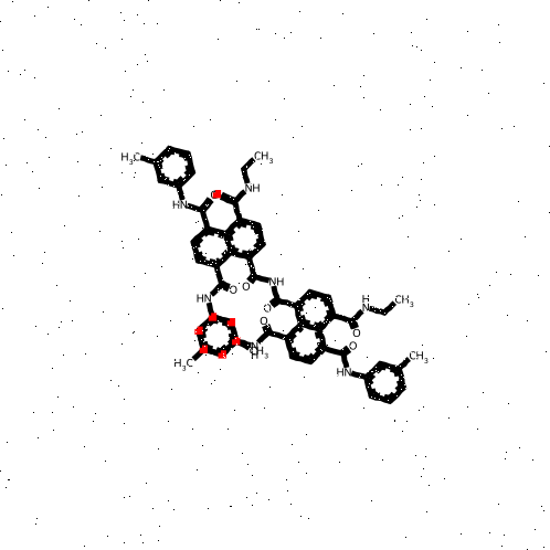 CCNC(=O)c1ccc(C(=O)NC(=O)c2ccc(C(=O)NCC)c3c(C(=O)Nc4cccc(C)c4)ccc(C(=O)Nc4cccc(C)c4)c23)c2c(C(=O)Nc3cccc(C)c3)ccc(C(=O)Nc3cccc(C)c3)c12